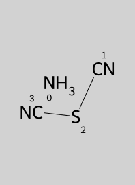 N.N#CSC#N